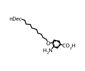 CCCCCCCCCCCCCCCCCCCOc1ccc(C(=O)O)cc1N